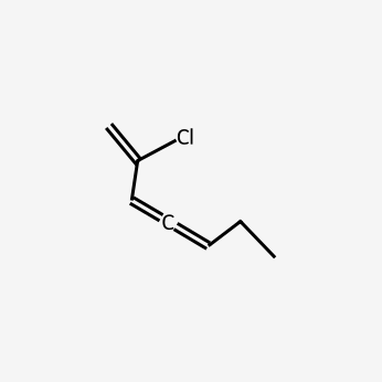 C=C(Cl)C=C=CCC